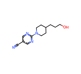 N#Cc1cnc(N2CCC(CCCO)CC2)nc1